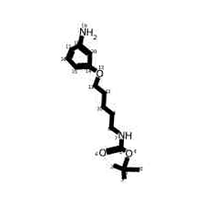 CC(C)(C)OC(=O)NCCCCCOc1cccc(N)c1